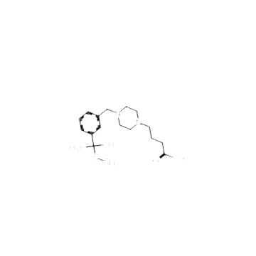 CC(C)(SS)c1cccc(CN2CCN(CCCC(=O)O)CC2)c1